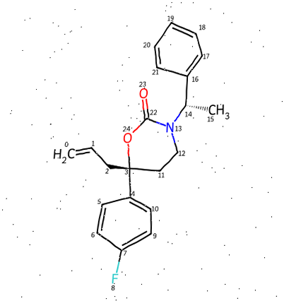 C=CC[C@]1(c2ccc(F)cc2)CCN([C@@H](C)c2ccccc2)C(=O)O1